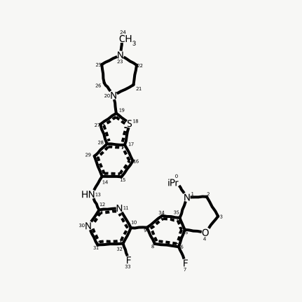 CC(C)N1CCOc2c(F)cc(-c3nc(Nc4ccc5sc(N6CCN(C)CC6)cc5c4)ncc3F)cc21